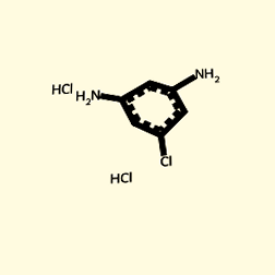 Cl.Cl.Nc1cc(N)cc(Cl)c1